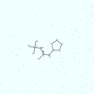 C[SiH](OC1CCCC1)O[Si](C)(C)C